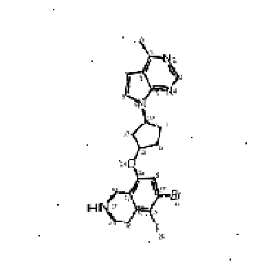 Cc1ncnc2c1ccn2C1CCC(Oc2cc(Br)c(F)c3c2CNCC3)C1